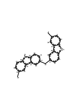 Cc1ccc2oc3ccc(Cc4ccc5sc6ccc(C)cc6c5c4)cc3c2c1